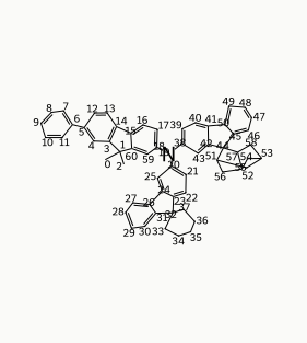 CC1(C)c2cc(-c3ccccc3)ccc2-c2ccc(N(c3ccc4c(c3)-c3ccccc3C43CCCCC3)c3ccc4c(c3)C3(c5ccccc5-4)C4CC5CC(C4)C3C5)cc21